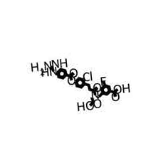 N=C(N)Nc1ccc(C(=O)Oc2ccc(CCC(=O)N(CC(=O)O)Cc3cc(F)cc(C(=O)O)c3)c(Cl)c2)cc1